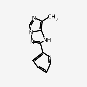 Cc1ncn2nc(-c3ccccn3)[nH]c12